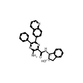 Nc1nc(-c2ccccc2)c(-c2ccc3ncccc3c2)nc1C(=O)N[C@H]1c2ccccc2C[C@@H]1O